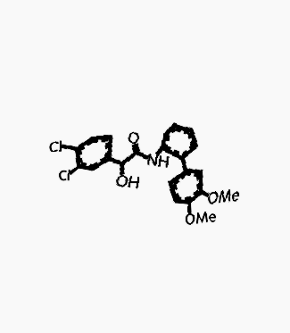 COc1ccc(-c2ccccc2NC(=O)C(O)c2ccc(Cl)c(Cl)c2)cc1OC